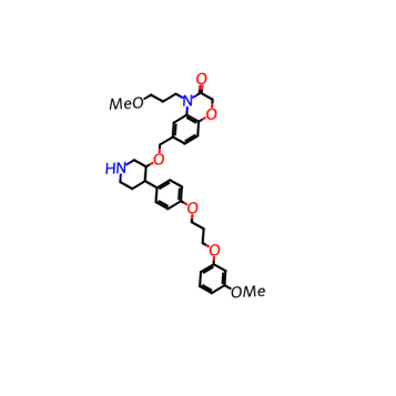 COCCCN1C(=O)COc2ccc(COC3CNCCC3c3ccc(OCCCOc4cccc(OC)c4)cc3)cc21